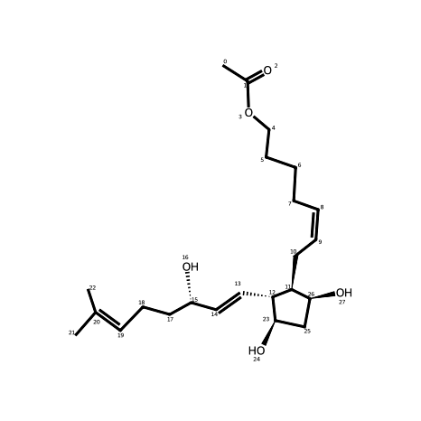 CC(=O)OCCCC/C=C\C[C@@H]1[C@@H](/C=C/[C@@H](O)CCC=C(C)C)[C@H](O)C[C@@H]1O